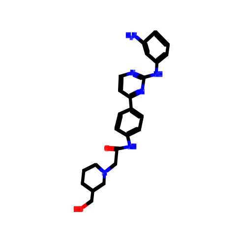 Nc1cccc(Nc2nccc(-c3ccc(NC(=O)CN4CCCC(CO)C4)cc3)n2)c1